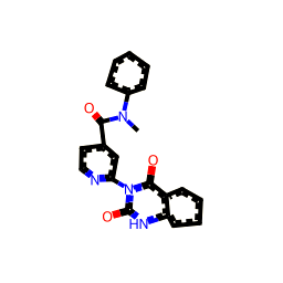 CN(C(=O)c1ccnc(-n2c(=O)[nH]c3ccccc3c2=O)c1)c1ccccc1